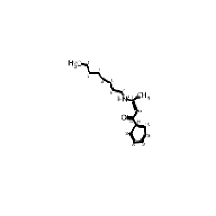 CCCCCCCCN/C(C)=C\C(=O)c1ccccc1